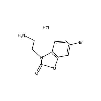 Cl.NCCn1c(=O)oc2cc(Br)ccc21